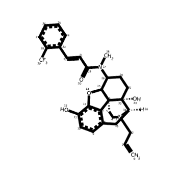 C=CCN1CC[C@]23c4c5ccc(O)c4OC2C(N(C)C(=O)/C=C/c2ccccc2C(F)(F)F)CC[C@@]3(O)[C@H]1C5